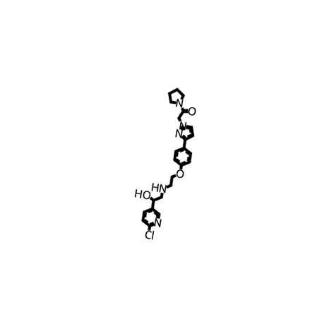 O=C(Cn1ccc(-c2ccc(OCCNCC(O)c3ccc(Cl)nc3)cc2)n1)N1CCCC1